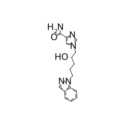 NC(=O)c1cn(C[C@@H](O)CCCn2ncc3ccccc32)cn1